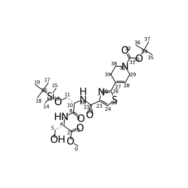 COC(=O)[C@H](CO)NC(=O)[C@H](CO[Si](C)(C)C(C)(C)C)NC(=O)c1csc(C2=CCN(C(=O)OC(C)(C)C)CC2)n1